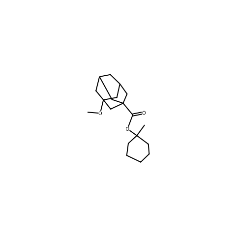 COC12CC3CC(C1)CC(C(=O)OC1(C)CCCCC1)(C3)C2